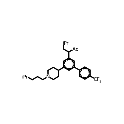 CC(=O)C(CC(C)C)c1cc(-c2ccc(C(F)(F)F)cc2)cc(C2CCN(CCCC(C)C)CC2)c1